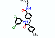 CC(C)(C)c1ccc(C(Cc2ccc(C(=O)NCCS(=O)(=O)O)cc2)C(=O)Nc2cc(Cl)cc(Cl)c2)cc1